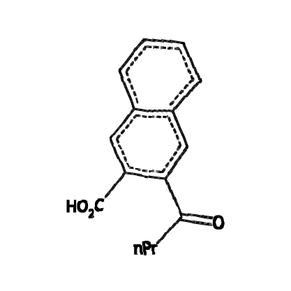 CCCC(=O)c1cc2ccccc2cc1C(=O)O